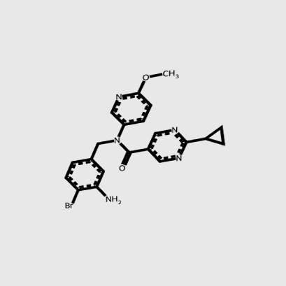 COc1ccc(N(Cc2ccc(Br)c(N)c2)C(=O)c2cnc(C3CC3)nc2)cn1